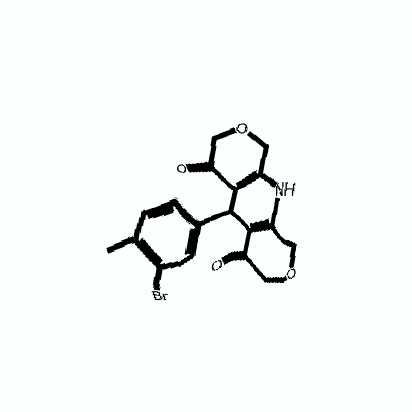 Cc1ccc(C2C3=C(COCC3=O)NC3=C2C(=O)COC3)cc1Br